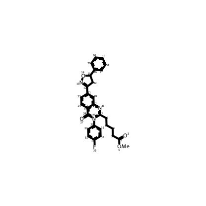 COC(=O)CCCCc1nc2cc(C3=NOC(c4ccccc4)C3)ccc2c(=O)n1-c1ccc(F)cc1